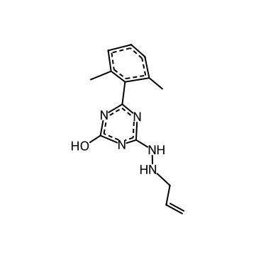 C=CCNNc1nc(O)nc(-c2c(C)cccc2C)n1